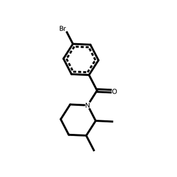 CC1CCCN(C(=O)c2ccc(Br)cc2)C1C